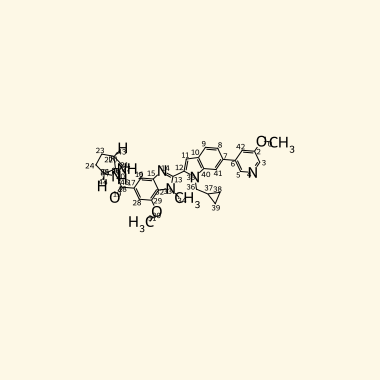 COc1cncc(-c2ccc3cc(-c4nc5cc(C(=O)N6C[C@H]7CC[C@@H]6[C@@H]7N)cc(OC)c5n4C)n(CC4CC4)c3c2)c1